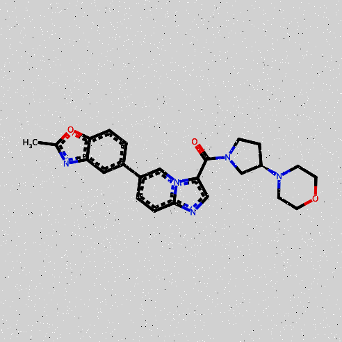 Cc1nc2cc(-c3ccc4ncc(C(=O)N5CC[C@@H](N6CCOCC6)C5)n4c3)ccc2o1